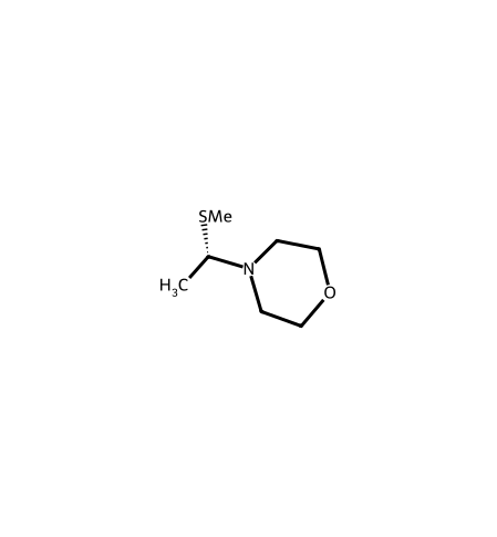 CS[C@@H](C)N1CCOCC1